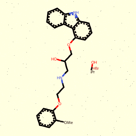 Br.CC(C)O.COc1ccccc1OCCNCC(O)COc1cccc2[nH]c3ccccc3c12